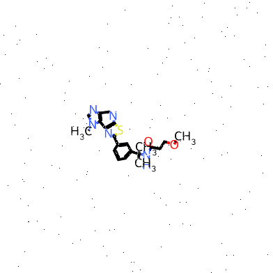 COCCC(=O)NC(C)(C)c1cccc(-c2nc3c(ncc4ncn(C)c43)s2)c1